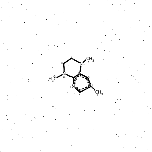 Cc1cnc2c(c1)N(C)CCN2C